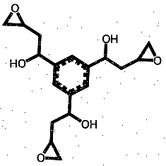 OC(CC1CO1)c1cc(C(O)CC2CO2)cc(C(O)CC2CO2)c1